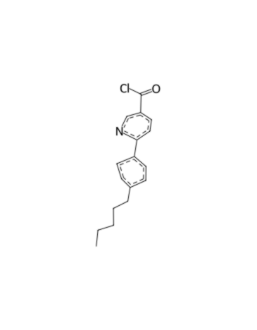 CCCCCc1ccc(-c2ccc(C(=O)Cl)cn2)cc1